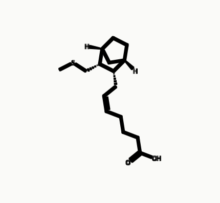 CSC[C@@H]1[C@@H]2CC[C@@H](C2)[C@@H]1C/C=C\CCCC(=O)O